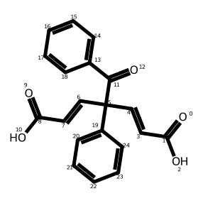 O=C(O)C=CC(C=CC(=O)O)(C(=O)c1ccccc1)c1ccccc1